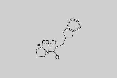 CCOC(=O)[C@H]1CCCN1C(=O)CCC1Cc2ccccc2C1